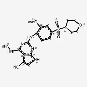 CCCNc1nc(Nc2ccc(S(=O)(=O)N3CCOCC3)cc2OC)nc2[nH]cc(C#N)c12